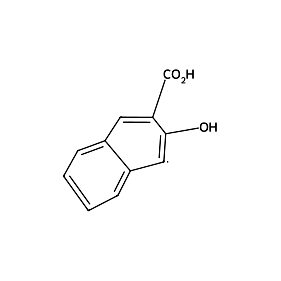 O=C(O)c1cc2ccccc2[c]c1O